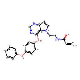 C=CC(=O)NCCn1ccc2ncnc(Oc3ccc(Oc4ccccc4)cc3)c21